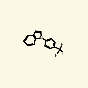 FC(F)(F)c1ccc(-n2ccc3[c]cccc32)cc1